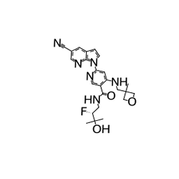 CC1(CNc2cc(-n3ccc4cc(C#N)cnc43)ncc2C(=O)NC[C@@H](F)C(C)(C)O)COC1